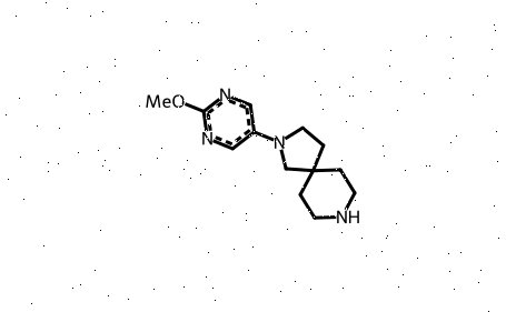 COc1ncc(N2CCC3(CCNCC3)C2)cn1